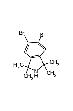 CC1(C)NC(C)(C)c2cc(Br)c(Br)cc21